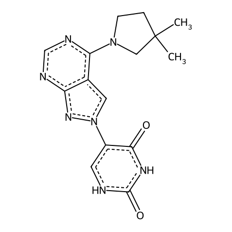 CC1(C)CCN(c2ncnc3nn(-c4c[nH]c(=O)[nH]c4=O)cc23)C1